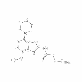 COc1ncc(N2CCOCC2)c2sc(NC(=O)CCC#N)nc12